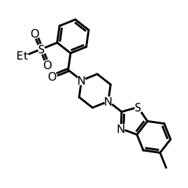 CCS(=O)(=O)c1ccccc1C(=O)N1CCN(c2nc3cc(C)ccc3s2)CC1